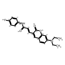 CCN(CC)c1ccc2cc(/C=C/C(=O)Nc3ccc(F)cc3)c(=O)oc2c1